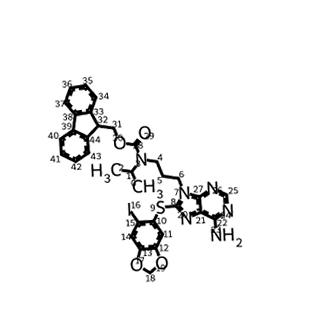 CC(C)N(CCCn1c(Sc2cc3c(cc2I)OCO3)nc2c(N)ncnc21)C(=O)OCC1c2ccccc2-c2ccccc21